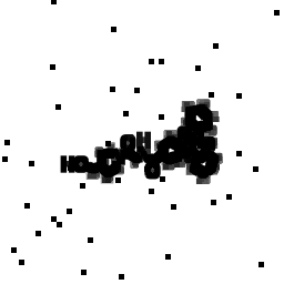 O=C(NCC(=O)N1CCC(CO)CC1)c1ccc(S(=O)(=O)N(Oc2ccccc2)c2ccccc2)cc1